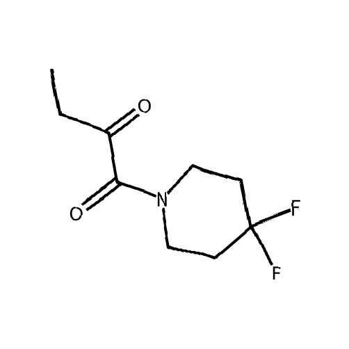 CCC(=O)C(=O)N1CCC(F)(F)CC1